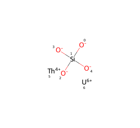 [O-][Si]([O-])([O-])[O-].[Th+4].[U+6]